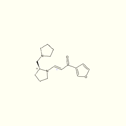 O=C(/C=C/N1CCC[C@H]1CN1CCCC1)c1ccoc1